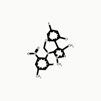 CCN(c1c(F)cc(C)cc1[N+](=O)[O-])c1c(-c2ccc(F)cc2Cl)c(C)nn1C